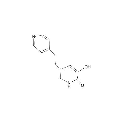 O=c1[nH]cc(SCc2ccncc2)cc1O